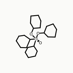 [O]=[Ti]([O]C1CCCCC1)([O]C1CCCCC1)([CH]1CCCCC1)[CH]1CCCCC1